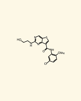 COc1ccc(Cl)cc1NC(=O)c1csc2cnc(NCCO)nc12